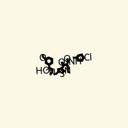 COc1cccc([C@H](O)CN(C)Cc2cc3c(=O)c(C(=O)NCc4ccc(Cl)cc4)cn(C)c3s2)c1